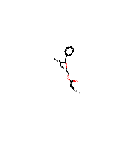 C=CC(=O)OCCOC(c1ccccc1)C(C)C